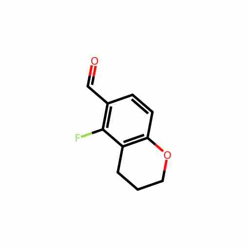 O=Cc1ccc2c(c1F)CCCO2